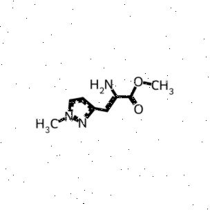 COC(=O)/C(N)=C/c1ccn(C)n1